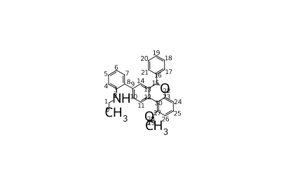 CCNc1ccccc1-c1ccc2c(c1)C(c1ccccc1)Oc1cccc(OC)c1-2